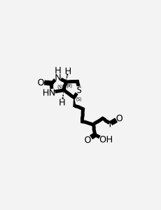 O=ICC(CCC[C@@H]1SC[C@@H]2NC(=O)N[C@@H]21)C(=O)O